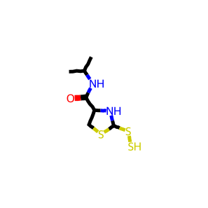 CC(C)NC(=O)C1CSC(SS)N1